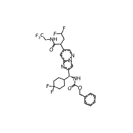 O=C(N[C@H](c1cn2ncc(C(CC(F)F)C(=O)NCC(F)(F)F)cc2n1)C1CCC(F)(F)CC1)OCc1ccccc1